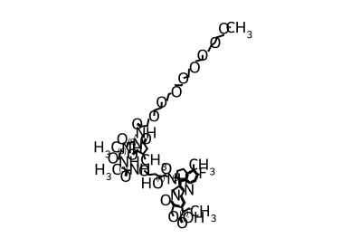 CC[C@@]1(O)C(=O)OCc2c1cc1n(c2=O)Cc2c-1nc1cc(F)c(C)c3c1c2[C@@H](NC(=O)[C@H](O)CCOCNC(=O)[C@H](C)NC(=O)[C@H](C)NC(=O)[C@H](CNC(=O)CCOCCOCCOCCOCCOCCOCCOCCOC)N1C(=O)CC(C)C1=O)CC3